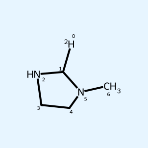 [2H]C1NCCN1C